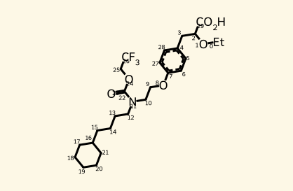 CCOC(Cc1ccc(OCCN(CCCCC2CCCCC2)C(=O)OCC(F)(F)F)cc1)C(=O)O